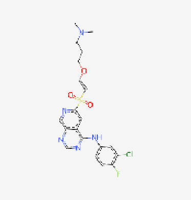 CN(C)CCCO/C=C/S(=O)(=O)c1cc2c(Nc3ccc(F)c(Cl)c3)ncnc2cn1